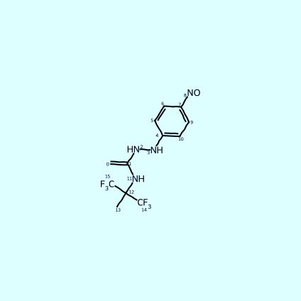 C=C(NNc1ccc(N=O)cc1)NC(C)(C(F)(F)F)C(F)(F)F